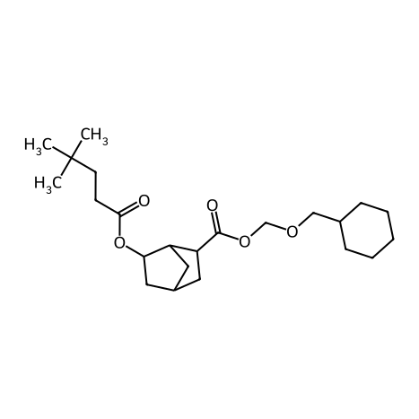 CC(C)(C)CCC(=O)OC1CC2CC(C(=O)OCOCC3CCCCC3)C1C2